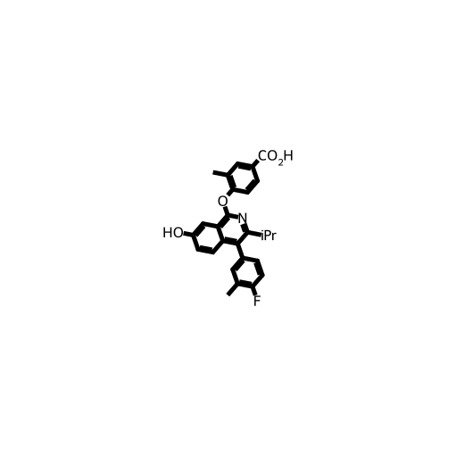 Cc1cc(-c2c(C(C)C)nc(Oc3ccc(C(=O)O)cc3C)c3cc(O)ccc23)ccc1F